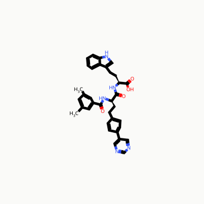 Cc1cc(C)cc(C(=O)N[C@H](CCc2ccc(-c3cncnc3)cc2)C(=O)N[C@@H](CCc2c[nH]c3ccccc23)C(=O)O)c1